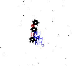 N=C(N)c1ccccc1NC(=O)Nc1ccc(Oc2ccccc2)cc1